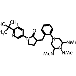 CNC1CN(c2ccccc2CC2CCN(c3ccc(C(C)(C)O)nc3)C2=O)CC(NC)N1NC